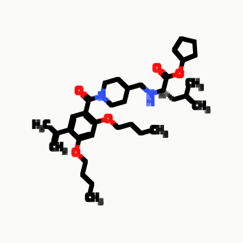 C=C(C)c1cc(C(=O)N2CCC(CN[C@@H](CC(C)C)C(=O)OC3CCCC3)CC2)c(OCCCC)cc1OCCCC